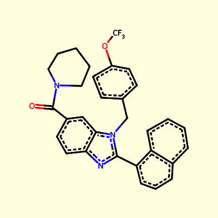 O=C(c1ccc2nc(-c3cccc4ccccc34)n(Cc3ccc(OC(F)(F)F)cc3)c2c1)N1CCCCC1